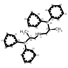 C[C@@H](CNC[C@H](C)P(c1ccccc1)c1ccccc1)P(c1ccccc1)c1ccccc1